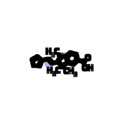 C[N+]1=C(/C=C/C2=CCC=C2)C(C)(C)c2cc(C(=O)O)ccc21